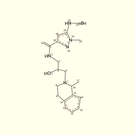 C=C(NCC(O)CN1CCc2ccccc2C1C)c1cc(NCCCC)n(C)n1